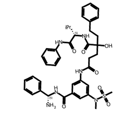 CC(C)[C@H](NC(=O)C(O)(CCC(=O)Nc1cc(C(=O)N[C@H](N)c2ccccc2)cc(N(C)S(C)(=O)=O)c1)CCc1ccccc1)C(=O)Nc1ccccc1